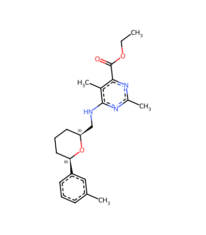 CCOC(=O)c1nc(C)nc(NC[C@@H]2CCC[C@H](c3cccc(C)c3)O2)c1C